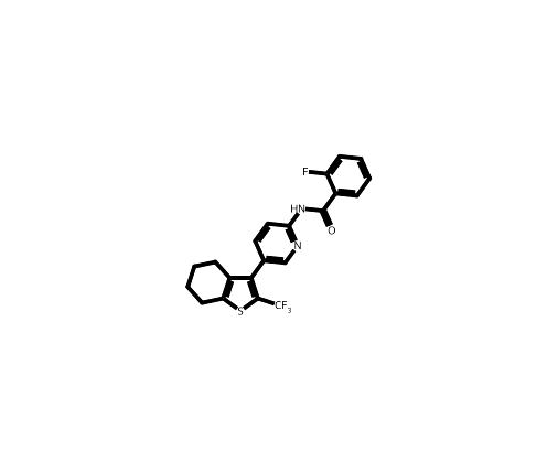 O=C(Nc1ccc(-c2c(C(F)(F)F)sc3c2CCCC3)cn1)c1ccccc1F